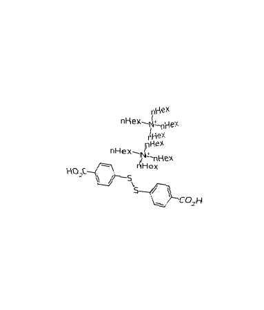 CCCCCC[N+](CCCCCC)(CCCCCC)CCCCCC.CCCCCC[N+](CCCCCC)(CCCCCC)CCCCCC.O=C(O)c1ccc(SSc2ccc(C(=O)O)cc2)cc1